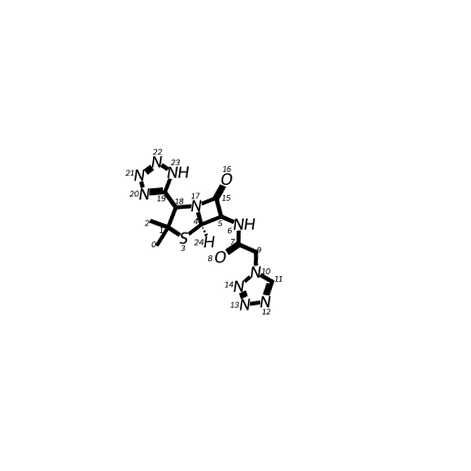 CC1(C)S[C@@H]2C(NC(=O)Cn3cnnn3)C(=O)N2C1c1nnn[nH]1